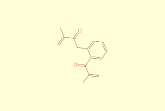 C=C(C)C(=O)[C]c1ccccc1C(=O)C(=C)C